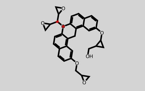 OCC1CC1Oc1ccc2ccc(OCC3CO3)c(Cc3c(OCC4CO4)ccc4ccc(OCC5CO5)cc34)c2c1